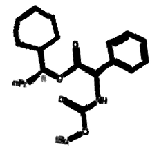 CCC[C@H](OC(=O)C(NC(=O)OC(C)(C)C)c1ccccc1)C1CCCCC1